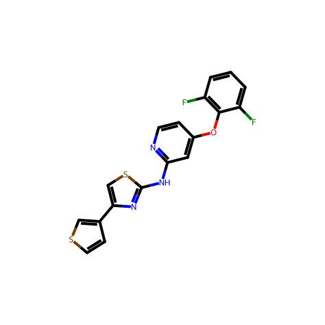 Fc1cccc(F)c1Oc1ccnc(Nc2nc(-c3ccsc3)cs2)c1